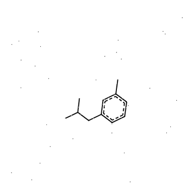 Cc1cc[c]c(CC(C)C)c1